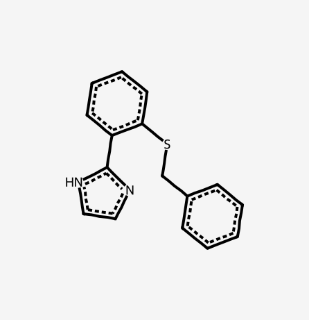 c1ccc(CSc2ccccc2-c2ncc[nH]2)cc1